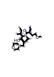 C/C=C(/CCOC)C(=O)N1C=CC(CN2CCOCC2)=C(O)/C1=C(\C)CC